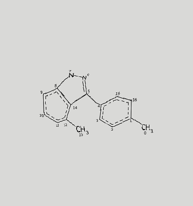 Cc1ccc(C2=N[N]c3cccc(C)c32)cc1